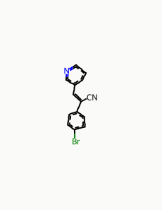 N#C/C(=C\c1cccnc1)c1ccc(Br)cc1